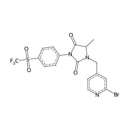 CC1C(=O)N(c2ccc(S(=O)(=O)C(F)(F)F)cc2)C(=O)N1Cc1ccnc(Br)c1